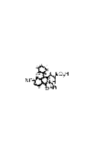 CC(C)Cn1c(CNC(=O)O)c(-c2ccccc2F)c2cc(C#N)ccc2c1=O